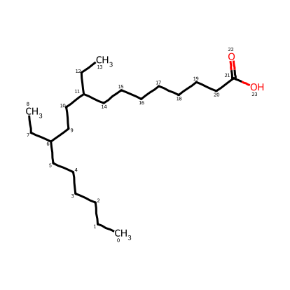 CCCCCCC(CC)CCC(CC)CCCCCCCC(=O)O